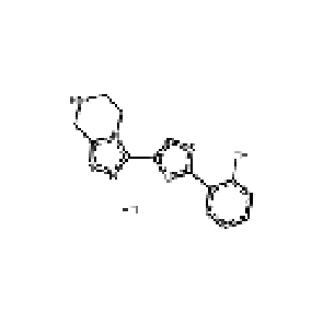 Cl.Oc1ccccc1-c1nc(-c2nnc3n2CCNC3)cs1